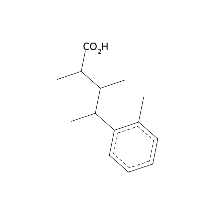 Cc1ccccc1C(C)C(C)C(C)C(=O)O